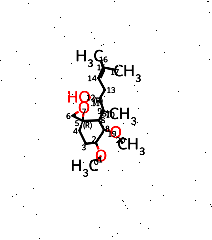 COC1CC[C@]2(CO2)C([C@H](C)[C@H](O)CC=C(C)C)C1OC